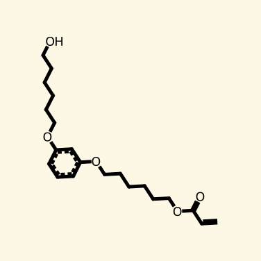 C=CC(=O)OCCCCCCOc1cccc(OCCCCCCO)c1